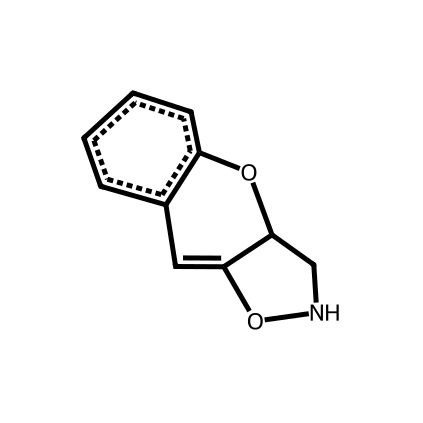 C1=C2ONCC2Oc2ccccc21